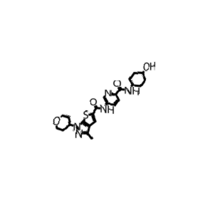 Cc1nn(C2CCOCC2)c2sc(C(=O)Nc3ccc(C(=O)NC4CCC(O)CC4)nc3)cc12